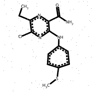 CCc1nc(C(N)=O)c(Nc2ccc(SC)cc2)nc1Cl